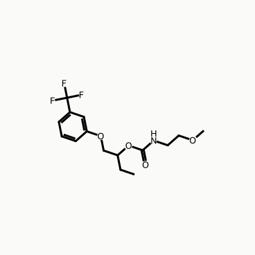 CCC(COc1cccc(C(F)(F)F)c1)OC(=O)NCCOC